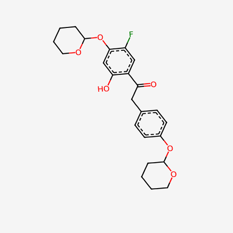 O=C(Cc1ccc(OC2CCCCO2)cc1)c1cc(F)c(OC2CCCCO2)cc1O